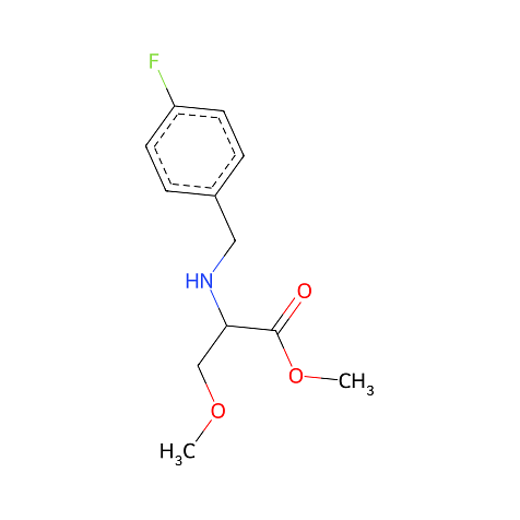 COCC(NCc1ccc(F)cc1)C(=O)OC